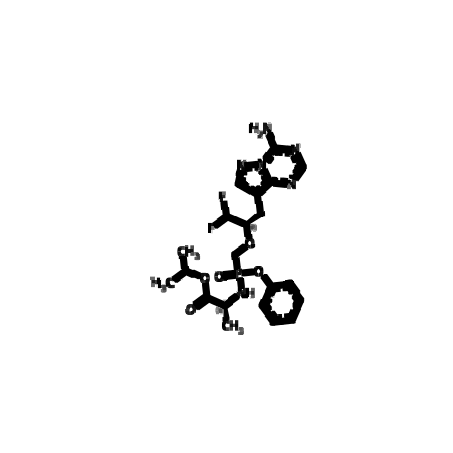 CC(C)OC(=O)[C@H](C)NP(=O)(CO[C@H](Cc1cnn2c(N)ncnc12)C(F)F)Oc1ccccc1